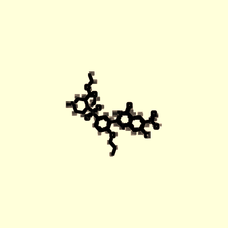 CCCOc1ccc(S(=O)(=O)[N+]2(CC)CCNCC2C(=O)OCC)cc1-c1nc2cc(Cl)c([N+](=O)[O-])cc2c(=O)[nH]1